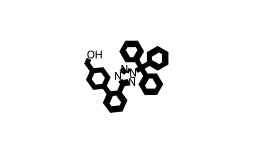 OCC1CCC(c2ccccc2-c2nnn(C(c3ccccc3)(c3ccccc3)c3ccccc3)n2)CC1